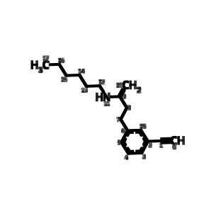 C#Cc1cccc(CCC(=C)NCCCCCC)c1